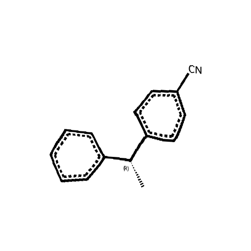 C[C@H](c1ccccc1)c1ccc(C#N)cc1